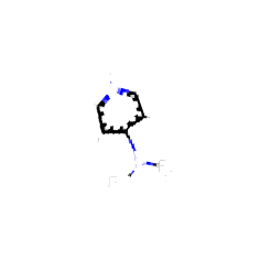 CCN(CC)c1ccncc1